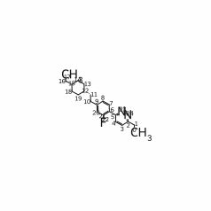 CCc1ccc(-c2ccc(CC[C@H]3CC[C@H](CC)CC3)cc2F)nn1